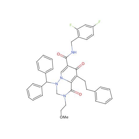 COCCN1CN(C(c2ccccc2)c2ccccc2)n2cc(C(=O)NCc3ccc(F)cc3F)c(=O)c(CCc3ccccc3)c2C1=O